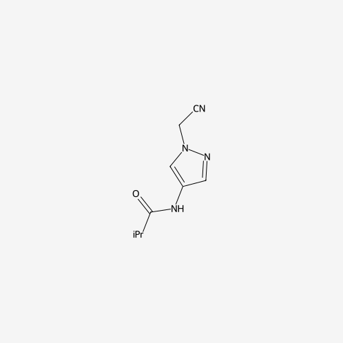 CC(C)C(=O)Nc1cnn(CC#N)c1